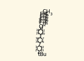 CC(C)(C)c1ccc(-c2ccc(-c3ccc(OCC(F)(F)C(F)(F)C(F)(F)C(C)(F)F)cc3)cc2)cc1